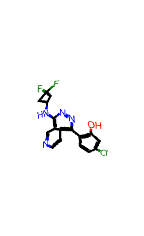 Oc1cc(Cl)ccc1-c1nnc(NC2CC(F)(F)C2)c2cnccc12